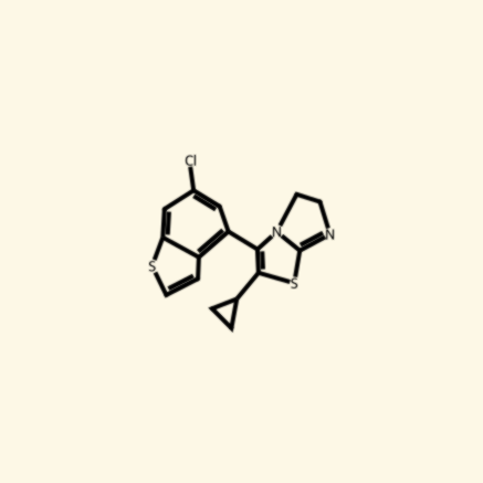 Clc1cc(C2=C(C3CC3)SC3=NCCN32)c2ccsc2c1